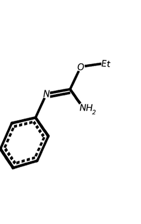 CCO/C(N)=N/c1ccccc1